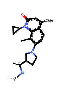 COc1cc(=O)n(C2CC2)c2c(C)c(N3CCC([C@H](C)NC(=O)O)C3)ccc12